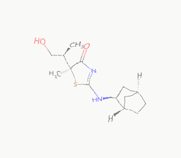 C[C@H](CO)[C@]1(C)SC(N[C@H]2C[C@H]3CC[C@H]2C3)=NC1=O